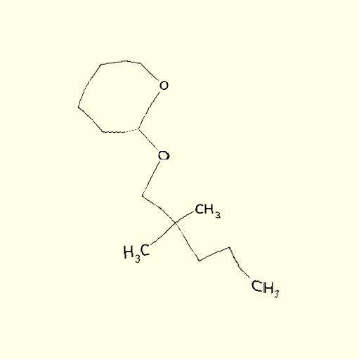 CCCC(C)(C)COC1CCCCO1